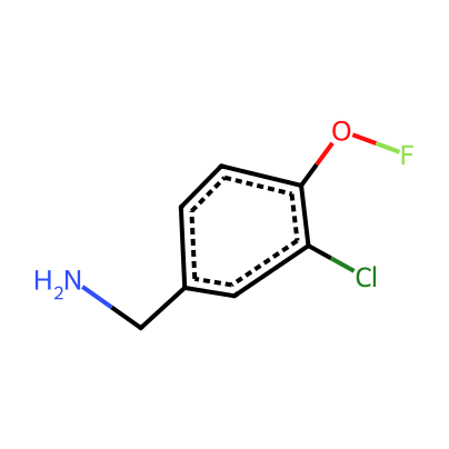 NCc1ccc(OF)c(Cl)c1